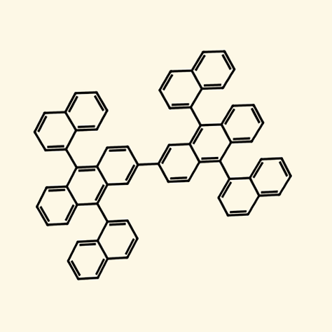 c1ccc2c(-c3c4ccccc4c(-c4cccc5ccccc45)c4cc(-c5ccc6c(-c7cccc8ccccc78)c7ccccc7c(-c7cccc8ccccc78)c6c5)ccc34)cccc2c1